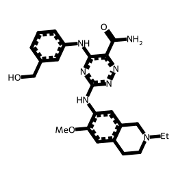 CCN1CCc2cc(OC)c(Nc3nnc(C(N)=O)c(Nc4cccc(CO)c4)n3)cc2C1